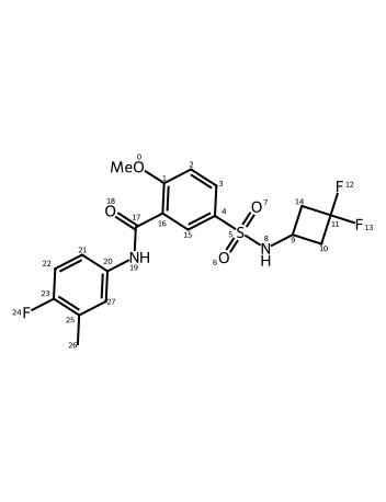 COc1ccc(S(=O)(=O)NC2CC(F)(F)C2)cc1C(=O)Nc1ccc(F)c(C)c1